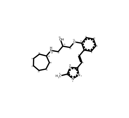 Cc1nnc(C=Cc2ccccc2OCC(O)CNC2CCCCCC2)s1